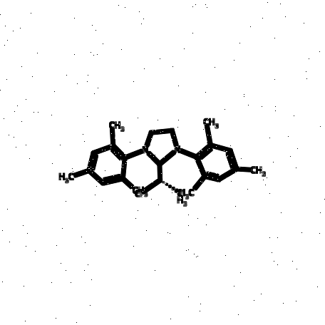 Cc1cc(C)c(N2CCN(c3c(C)cc(C)cc3C)C2[C@H](C)Cl)c(C)c1